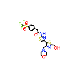 O=C(Cc1ccc(S(=O)(=O)C(F)(F)F)cc1)Nc1nc(-c2sc(CO)nc2CN2CCOCC2)cs1